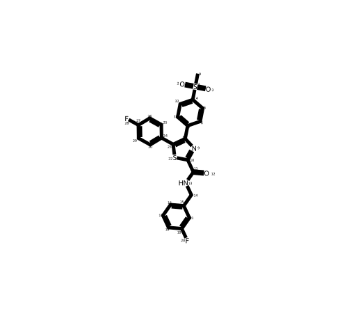 CS(=O)(=O)c1ccc(-c2nc(C(=O)NCc3cccc(F)c3)sc2-c2ccc(F)cc2)cc1